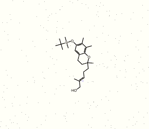 C/C(=C\CCC1(C)CCc2cc(O[Si](C)(C)C(C)(C)C)c(C)c(C)c2O1)CO